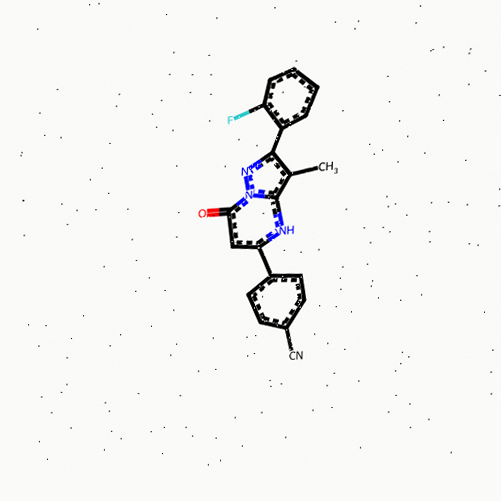 Cc1c(-c2ccccc2F)nn2c(=O)cc(-c3ccc(C#N)cc3)[nH]c12